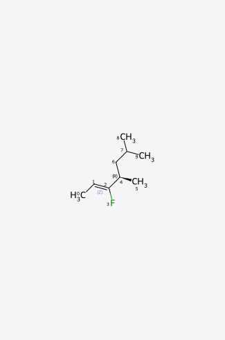 C/C=C(\F)[C@H](C)CC(C)C